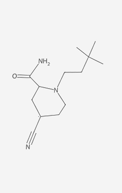 CC(C)(C)CCN1CC[C](C#N)CC1C(N)=O